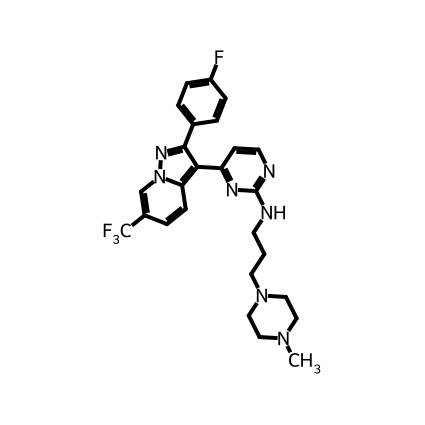 CN1CCN(CCCNc2nccc(-c3c(-c4ccc(F)cc4)nn4cc(C(F)(F)F)ccc34)n2)CC1